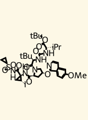 COc1ccc2c(O[C@@H]3C[C@@H](C(=O)N[C@]4(C(=O)NS(=O)(=O)C5CC5)C[C@H]4I)N(C(=O)[C@@H](NC(=O)N[C@H](C(=O)OC(C)(C)C)C(C)C)C(C)(C)C)C3)nccc2c1